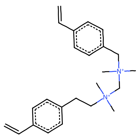 C=Cc1ccc(CC[N+](C)(C)C[N+](C)(C)Cc2ccc(C=C)cc2)cc1